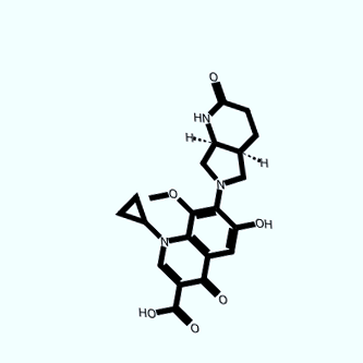 COc1c(N2C[C@@H]3CCC(=O)N[C@@H]3C2)c(O)cc2c(=O)c(C(=O)O)cn(C3CC3)c12